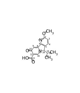 COc1ccc2c(n1)-c1cc(=O)c(C(=O)O)cn1C2C(C)C